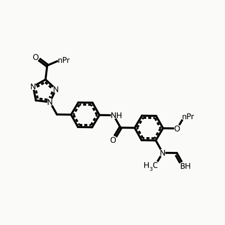 B=CN(C)c1cc(C(=O)Nc2ccc(Cn3cnc(C(=O)CCC)n3)cc2)ccc1OCCC